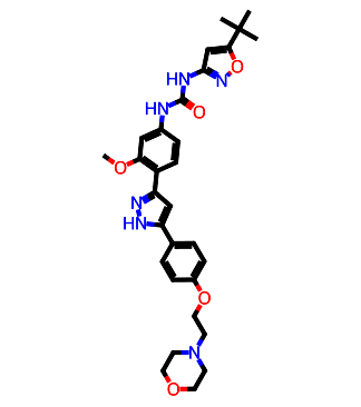 COc1cc(NC(=O)Nc2cc(C(C)(C)C)on2)ccc1-c1cc(-c2ccc(OCCN3CCOCC3)cc2)[nH]n1